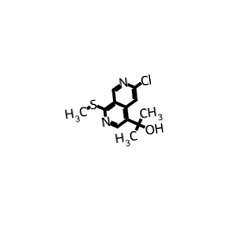 CSc1ncc(C(C)(C)O)c2cc(Cl)ncc12